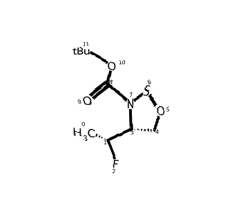 C[C@@H](F)[C@H]1COSN1C(=O)OC(C)(C)C